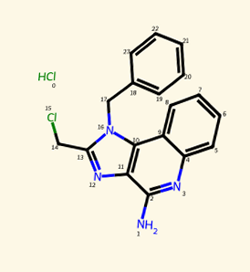 Cl.Nc1nc2ccccc2c2c1nc(CCl)n2Cc1ccccc1